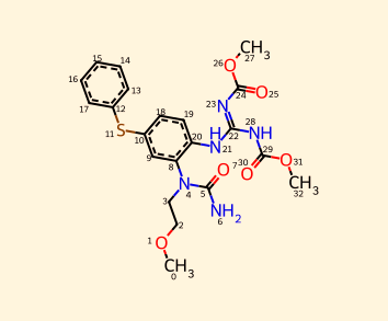 COCCN(C(N)=O)c1cc(Sc2ccccc2)ccc1NC(=NC(=O)OC)NC(=O)OC